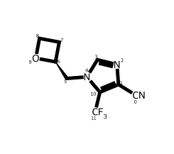 N#Cc1ncn(C[C@@H]2CCO2)c1C(F)(F)F